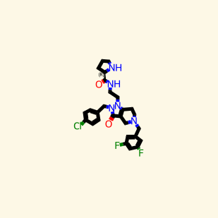 O=C(NCCn1c2c(c(=O)n1Cc1ccc(Cl)cc1)CN(Cc1cc(F)cc(F)c1)CC2)[C@H]1CCCN1